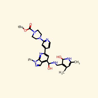 CC1=CC(C)=C(CNC(O)c2cc(-c3ccnc(N4CCN(C(=O)OC(C)(C)C)CC4)c3)nc3c2cnn3C(C)C)C(O)N1